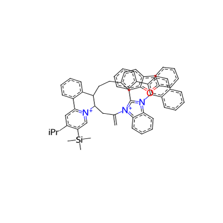 C=C1CC2C(CCc3ccc4c(oc5ccccc54)c3-c3n(-c4c(-c5ccccc5)ccc5ccccc45)c4ccccc4[n+]31)c1ccccc1-c1cc(C(C)C)c([Si](C)(C)C)c[n+]12